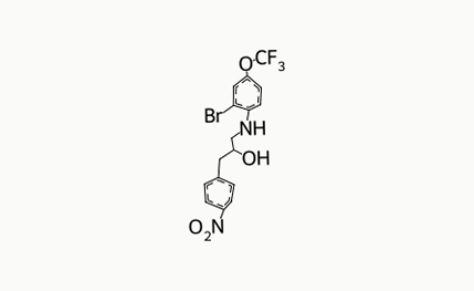 O=[N+]([O-])c1ccc(CC(O)CNc2ccc(OC(F)(F)F)cc2Br)cc1